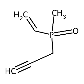 C#CCP(C)(=O)C=C